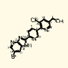 OCc1cnc(-c2ccc(-c3nc4ncc(Br)cc4[nH]3)nc2)c(Cl)c1